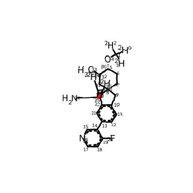 [2H]C([2H])([2H])O[C@@H]1CC[C@]2(Cc3ccc(-c4cnccc4F)cc3[C@]23N=C(N)OC3([2H])[2H])C[C@H]1C